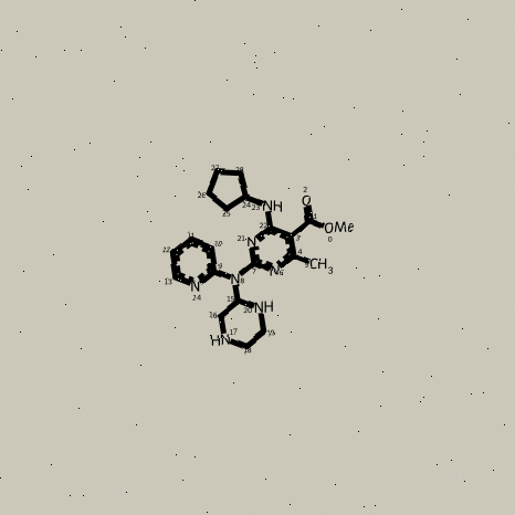 COC(=O)c1c(C)nc(N(c2ccccn2)C2CNCCN2)nc1NC1CCCC1